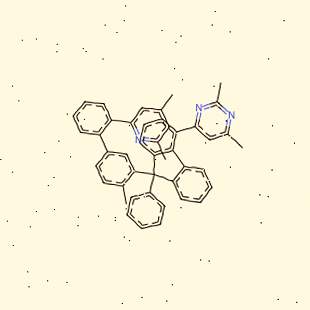 Cc1cc(C)nc(-c2ccccc2-c2ccc(C)c(C3(c4ccccc4)c4ccccc4-c4c(-c5cc(C)nc(C)n5)cccc43)c2)c1